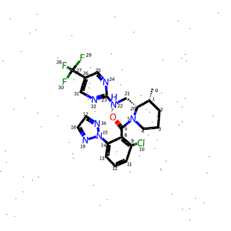 C[C@@H]1CCCN(C(=O)c2c(Cl)cccc2-n2nccn2)[C@@H]1CNc1ncc(C(F)(F)F)cn1